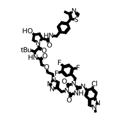 Cc1ncsc1-c1ccc(CNC(=O)C2CC(O)CN2C(=O)C(NC(=O)COCCn2cc(Cn3c(=O)[nH]c(=Nc4cc5cn(C)nc5cc4Cl)n(Cc4cc(F)c(F)cc4F)c3=O)nn2)C(C)(C)C)cc1